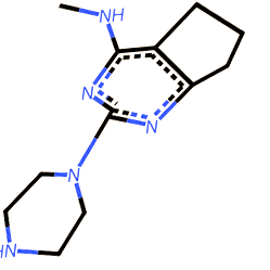 CNc1nc(N2CCNCC2)nc2c1CCC2